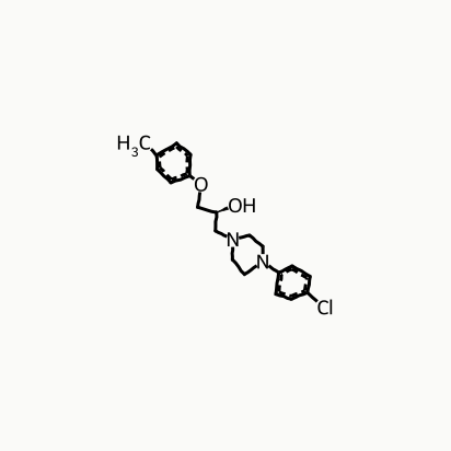 Cc1ccc(OC[C@@H](O)CN2CCN(c3ccc(Cl)cc3)CC2)cc1